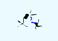 CC(C)(C)C[Si](C)(Cl)NC(C)(C)C